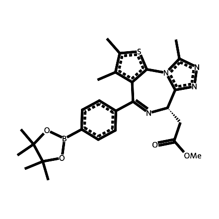 COC(=O)C[C@@H]1N=C(c2ccc(B3OC(C)(C)C(C)(C)O3)cc2)c2c(sc(C)c2C)-n2c(C)nnc21